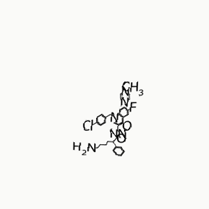 CN1CCN(c2cc3c(cc2F)c(=O)c(-c2noc(C(CCCCN)c4ccccc4)n2)cn3Cc2ccc(Cl)cc2)CC1